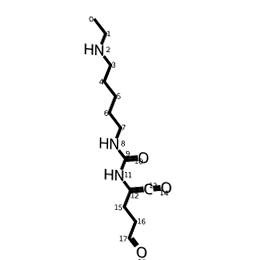 CCNCCCCCNC(=O)NC(=C=O)CCC=O